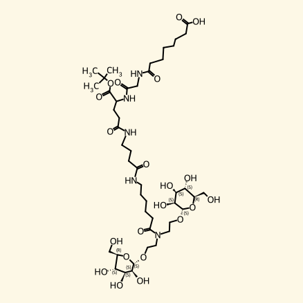 CC(C)(C)OC(=O)C(CCC(=O)NCCCC(=O)NCCCCCC(=O)N(CCO[C@H]1O[C@H](CO)[C@@H](O)[C@H](O)[C@@H]1O)CCO[C@H]1O[C@H](CO)[C@@H](O)[C@H](O)[C@@H]1O)NC(=O)CNC(=O)CCCCCCC(=O)O